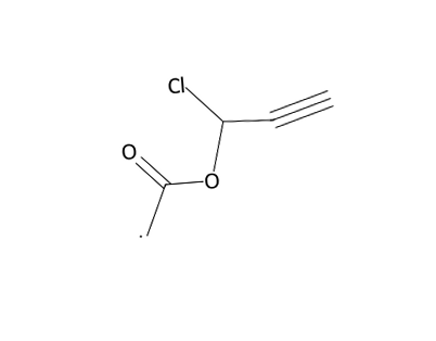 C#CC(Cl)OC([CH2])=O